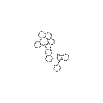 c1ccc(-n2c(-c3cccc4cc5c(cc34)c3ccc4ccc6cccc7c8ccccc8n5c3c4c67)nc3ccccc32)cc1